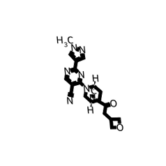 Cn1cc(-c2ncc(C#N)c(N3C[C@@H]4CC[C@H]3CN4C(=O)CC3COC3)n2)cn1